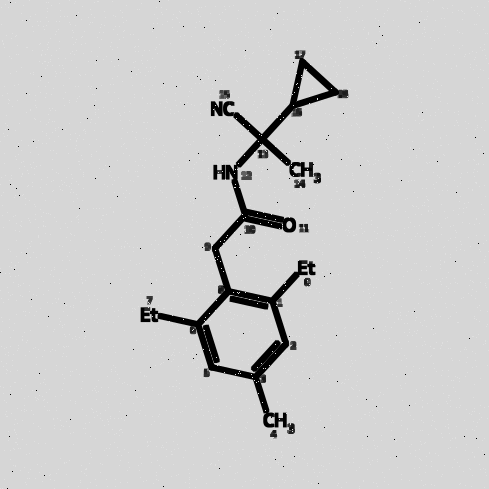 CCc1cc(C)cc(CC)c1CC(=O)NC(C)(C#N)C1CC1